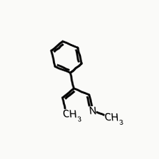 C/C=C(\C=N\C)c1ccccc1